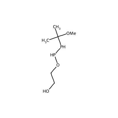 COC(C)(C)PPOCCO